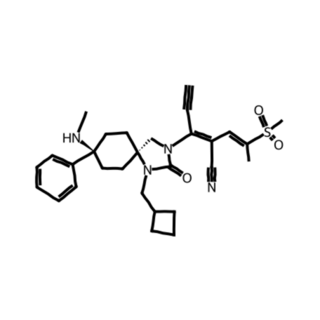 C#C/C(=C(C#N)\C=C(/C)S(C)(=O)=O)N1C[C@]2(CC[C@@](NC)(c3ccccc3)CC2)N(CC2CCC2)C1=O